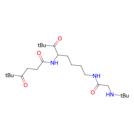 CC(C)(C)NCC(=O)NCCCCC(NC(=O)CCC(=O)C(C)(C)C)C(=O)C(C)(C)C